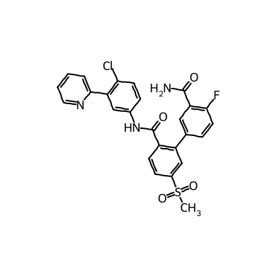 CS(=O)(=O)c1ccc(C(=O)Nc2ccc(Cl)c(-c3ccccn3)c2)c(-c2ccc(F)c(C(N)=O)c2)c1